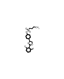 CCCCS(=O)(=O)Oc1ccc(C2COC(c3c(F)cccc3F)=N2)cc1